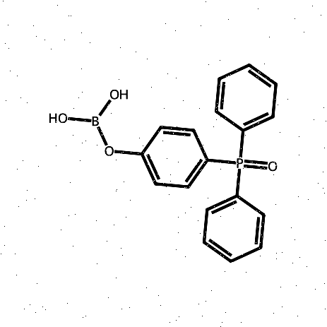 O=P(c1ccccc1)(c1ccccc1)c1ccc(OB(O)O)cc1